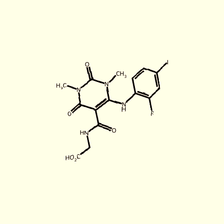 Cn1c(Nc2ccc(I)cc2F)c(C(=O)NCC(=O)O)c(=O)n(C)c1=O